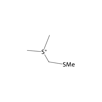 CSC[S+](C)C